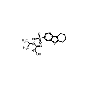 CC(C)[C@H](NS(=O)(=O)c1ccc2c3c(sc2c1)CCCC3)C(=O)NO